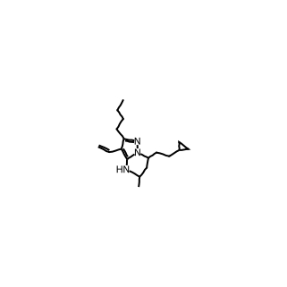 C=Cc1c(CCCC)nn2c1NC(C)CC2CCC1CC1